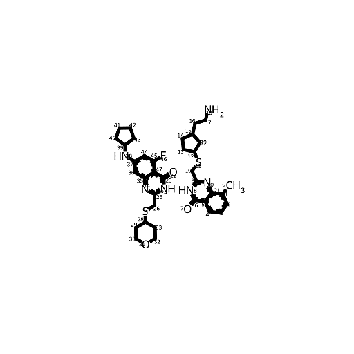 Cc1cccc2c(=O)[nH]c(CSC3CCC(CCN)C3)nc12.O=c1[nH]c(CSC2CCOCC2)nc2cc(NC3CCCC3)cc(F)c12